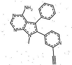 C#Cc1cc(-c2c(-c3ccccc3)c3c(N)ncnc3n2C)ccn1